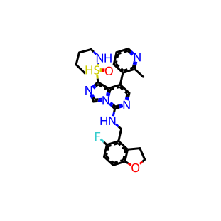 Cc1ncccc1-c1cnc(NCc2c(F)ccc3c2CCO3)n2cnc([SH]3(=O)CCCCN3)c12